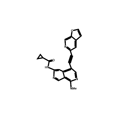 CNc1ncc(C#Cc2cc3ccoc3cn2)c2cc(NC(=O)C3CC3)ncc12